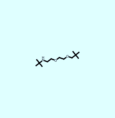 CC(C)(C)COCCOCCNC(C)(C)C